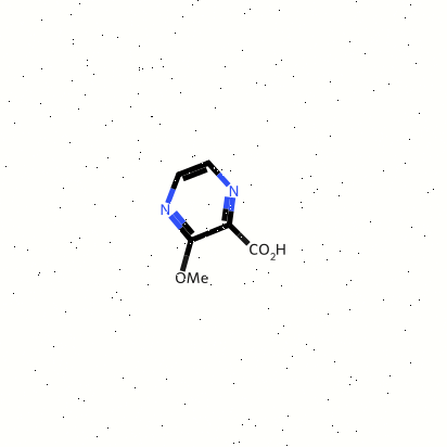 COc1nccnc1C(=O)O